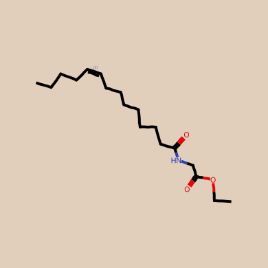 CCCC/C=C\CCCCCCCC(=O)NCC(=O)OCC